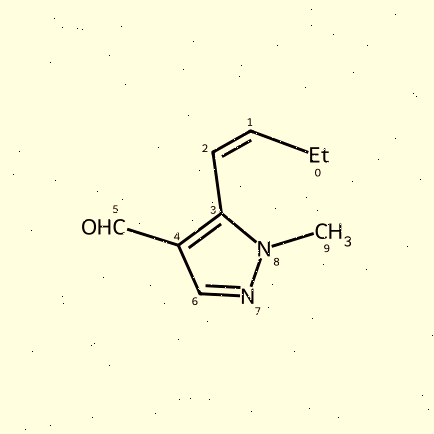 CC/C=C\c1c(C=O)cnn1C